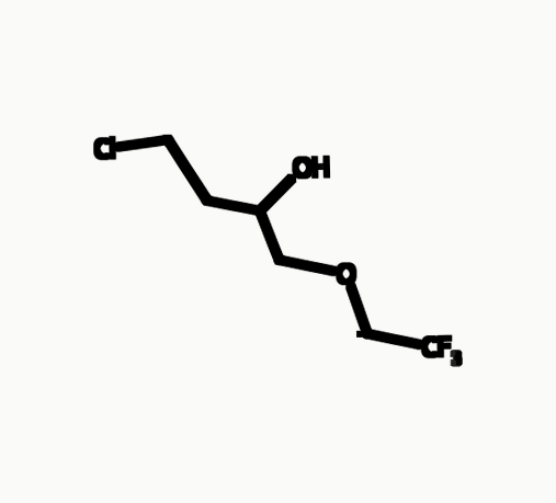 OC(CCCl)CO[CH]C(F)(F)F